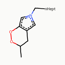 CCCCCCCCn1cc2c(c1)OOC(C)C2